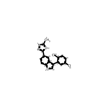 Cc1nnc(-c2ccc3occ(-c4cc(Cl)ccc4Cl)c3c2)o1